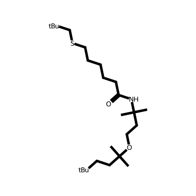 CC(C)(C)CCC(C)(C)OCCC(C)(C)NC(=O)CCCCCSCC(C)(C)C